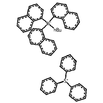 CCCC[B-](c1cccc2ccccc12)(c1cccc2ccccc12)c1cccc2ccccc12.c1ccc([S+](c2ccccc2)c2ccccc2)cc1